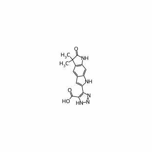 CC1(C)C(=O)Nc2cc3[nH]c(-c4nn[nH]c4C(=O)O)cc3cc21